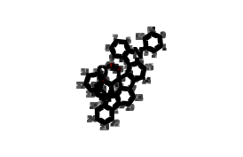 c1ccc(-n2c3ccccc3c3c4c(ccc32)-c2ccc3c5ccccc5n(-c5ccccc5)c3c2C42c3ccccc3Oc3ccccc32)cc1